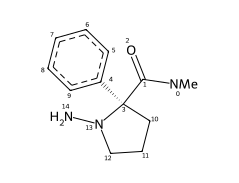 CNC(=O)[C@@]1(c2ccccc2)CCCN1N